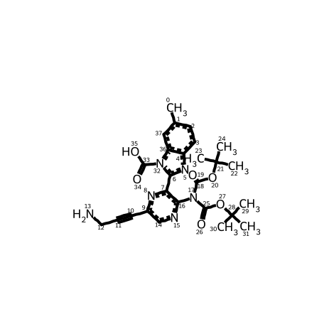 Cc1ccc2nc(-c3nc(C#CCN)cnc3N(C(=O)OC(C)(C)C)C(=O)OC(C)(C)C)n(C(=O)O)c2c1